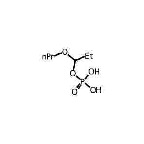 CCCOC(CC)OP(=O)(O)O